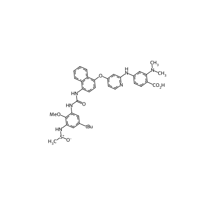 COc1c(NC(=O)Nc2ccc(Oc3ccnc(Nc4ccc(C(=O)O)c(N(C)C)c4)c3)c3ccccc23)cc(C(C)(C)C)cc1N[S+](C)[O-]